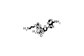 COP(=O)(O)OC1C[C@H](n2cnc3c(N)ncnc32)O[C@@H]1COP(=O)(O)OCCCN